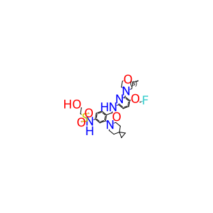 C[C@H]1CN(c2nc(NC(=O)c3ccc(NS(=O)(=O)CCO)cc3N3CCC4(CC3)CC4)ccc2OCF)CCO1